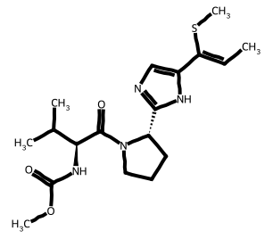 C/C=C(\SC)c1cnc([C@@H]2CCCN2C(=O)[C@@H](NC(=O)OC)C(C)C)[nH]1